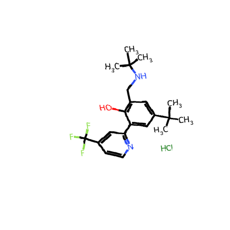 CC(C)(C)NCc1cc(C(C)(C)C)cc(-c2cc(C(F)(F)F)ccn2)c1O.Cl